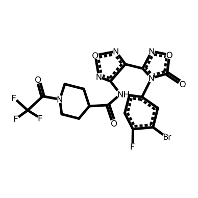 O=C(Nc1nonc1-c1noc(=O)n1-c1ccc(F)c(Br)c1)C1CCN(C(=O)C(F)(F)F)CC1